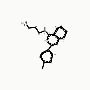 Cc1ccc(-c2cc3ncccc3c(NCCCN)n2)cc1